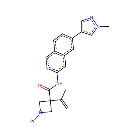 C=C(C)C1(C(=O)Nc2cc3cc(-c4cnn(C)c4)ccc3cn2)CN(C(C)C)C1